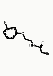 O=C(CBr)NCCOc1cccc(F)c1